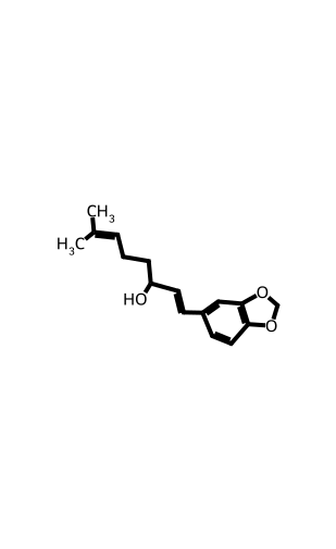 CC(C)=CCCC(O)C=Cc1ccc2c(c1)OCO2